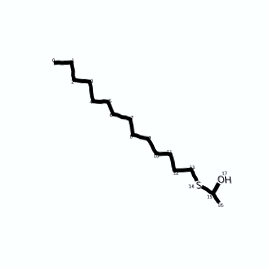 CCCCCCCCCCCCCCSC(C)O